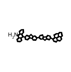 Nc1c2ccccc2c(-c2ccc3c(c2)Cc2cc(-c4ccc5c(c4)Cc4cc(-c6ccc7ccc8cccc9ccc6c7c89)ccc4-5)ccc2-3)c2ccccc12